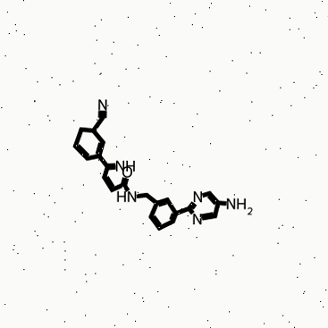 N#CC1C=C(C(=N)/C=C\C(=O)NCc2cccc(-c3ncc(N)cn3)c2)C=CC1